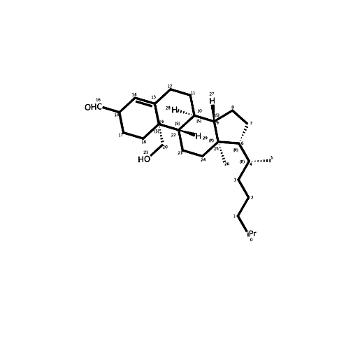 CC(C)CCC[C@@H](C)[C@H]1CC[C@H]2[C@@H]3CCC4=CC(C=O)CC[C@]4(CO)[C@H]3CC[C@]12C